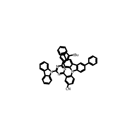 CC(C)(C)c1cccc(-c2nc(-c3cc(C#N)ccc3-n3c4ccc(-c5ccccc5)cc4c4cc(-c5ccccc5)ccc43)nc(-n3c4ccccc4c4ccccc43)n2)c1